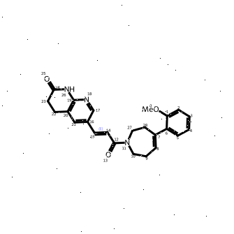 COc1ccccc1C1=CCCN(C(=O)/C=C/c2cnc3c(c2)CCC(=O)N3)CC1